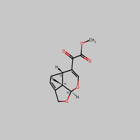 COC(=O)C(=O)C1=CO[C@H]2OCC3=CC[C@H]1[C@@H]32